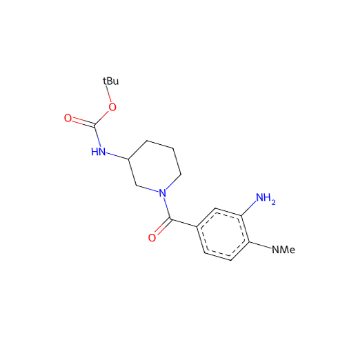 CNc1ccc(C(=O)N2CCCC(NC(=O)OC(C)(C)C)C2)cc1N